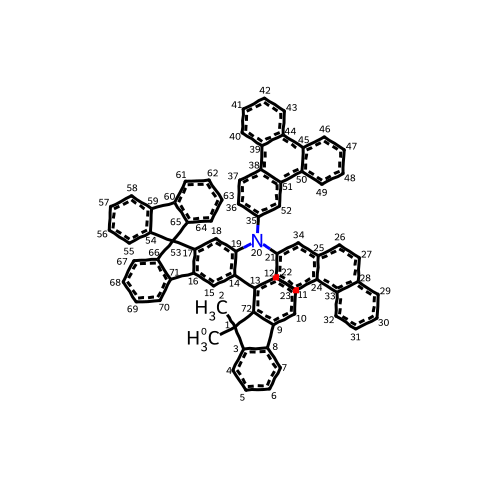 CC1(C)c2ccccc2-c2cccc(-c3cc4c(cc3N(c3ccc5c(ccc6ccccc65)c3)c3ccc5c6ccccc6c6ccccc6c5c3)C3(c5ccccc5-c5ccccc53)c3ccccc3-4)c21